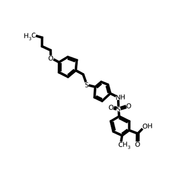 CCCCOc1ccc(CSc2ccc(NS(=O)(=O)c3ccc(C)c(C(=O)O)c3)cc2)cc1